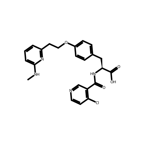 CNc1cccc(CCOc2ccc(C[C@H](NC(=O)c3cnccc3Cl)C(=O)O)cc2)n1